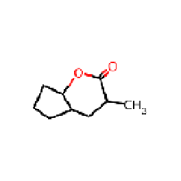 CC1CC2CCCC2OC1=O